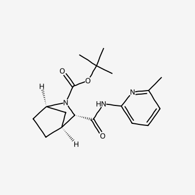 Cc1cccc(NC(=O)[C@@H]2[C@H]3CC[C@H](C3)N2C(=O)OC(C)(C)C)n1